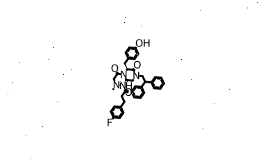 CN1CC(=O)N2[C@@H](Cc3ccc(O)cc3)C(=O)N(CC(c3ccccc3)c3ccccc3)C[C@@H]2N1C(=O)CCc1ccc(F)cc1